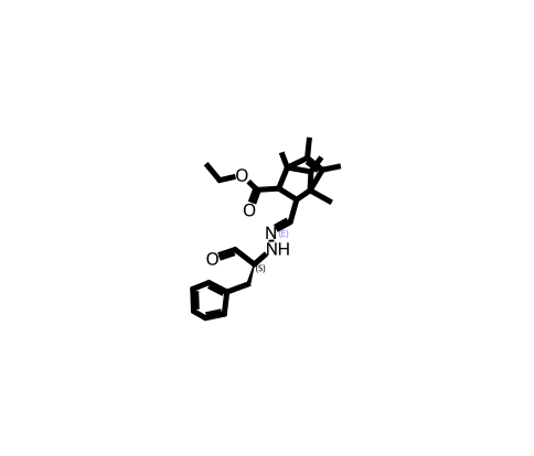 CCOC(=O)C1C(/C=N/N[C@H](C=O)Cc2ccccc2)C2(C)C(C)=C(C)C1(C)C2C